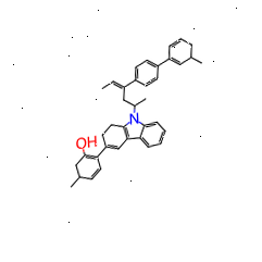 C/C=C(\CC(C)n1c2c(c3ccccc31)C=C(C1=C(O)CC(C)C=C1)CC2)c1ccc(C2=CC(C)CC=C2)cc1